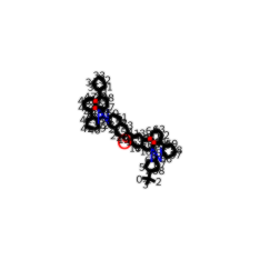 CC(C)(C)c1ccc(N(c2ccc3cc4c(cc3c2)oc2cc3cc(N(c5ccc(-c6ccccc6)cc5)c5ccccc5-c5ccccc5)ccc3cc24)c2ccccc2-c2ccccc2)cc1